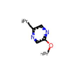 CCCOc1cnc(C(C)C)cn1